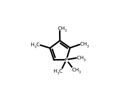 CC1=[C]P(C)(C)(C)C(C)=C1C